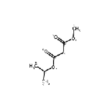 COC(=O)[CH]C(=O)OC(C)C